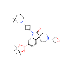 CC1(C)CCCN([C@H]2C[C@@H](N3C(=O)C4(CCN(C5COC5)CC4)c4ccc(B5OC(C)(C)C(C)(C)O5)cc43)C2)C1